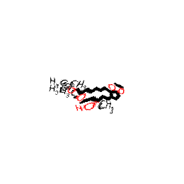 CCOCCC(C)(O)C=CC1CCC2(OCCO2)C1CCCCCCCO[Si](C)(C)C